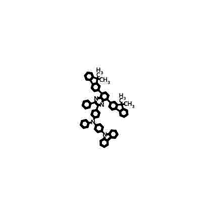 CC1(C)c2ccccc2-c2ccc(-c3ccc(-c4ccc5c(c4)C(C)(C)c4ccccc4-5)c4nc(-c5ccc(N(c6ccccc6)c6ccc(-n7c8ccccc8c8ccccc87)cc6)cc5)c(-c5ccccc5)nc34)cc21